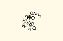 NC(=O)c1cccc2c(C3NC4=C(CC=NC=C4)C(NCc4ccccc4)N3)n[nH]c12